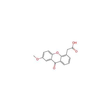 COc1ccc2oc3c(CC(=O)O)cccc3c(=O)c2c1